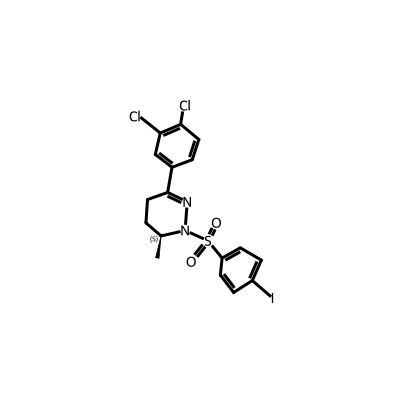 C[C@H]1CCC(c2ccc(Cl)c(Cl)c2)=NN1S(=O)(=O)c1ccc(I)cc1